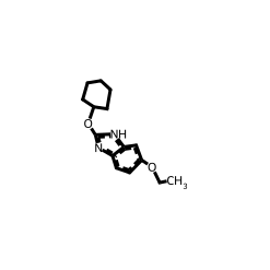 CCOc1ccc2nc(OC3CCCCC3)[nH]c2c1